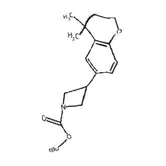 CC(C)(C)OC(=O)N1CC(c2ccc3c(c2)C(C)(C)CCO3)C1